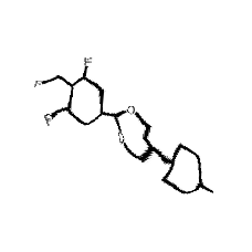 CC1CCC(C2COC(C3CC(F)C(CF)C(F)C3)OC2)CC1